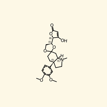 COc1ccc([C@]23CCN(C)[C@H]2CC2(CC3)OC[C@@H]([C@H]3OC(=O)C=C3O)O2)cc1OC